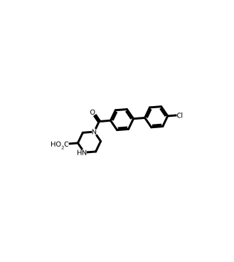 O=C(O)C1CN(C(=O)c2ccc(-c3ccc(Cl)cc3)cc2)CCN1